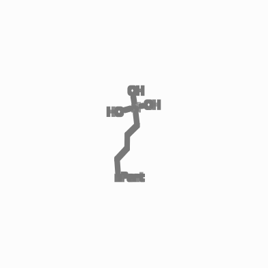 CCCCCCCCC[Si](O)(O)O